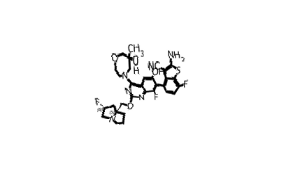 CC1(O)COCCN(c2nc(OC[C@@]34CCCN3C[C@H](F)C4)nc3c(F)c(-c4ccc(F)c5sc(N)c(C#N)c45)c(O)cc23)C1